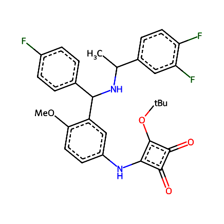 COc1ccc(Nc2c(OC(C)(C)C)c(=O)c2=O)cc1C(NC(C)c1ccc(F)c(F)c1)c1ccc(F)cc1